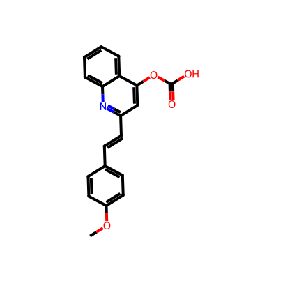 COc1ccc(C=Cc2cc(OC(=O)O)c3ccccc3n2)cc1